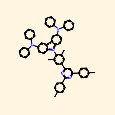 Cc1ccc(-c2cc(-c3cc(C)c(-n4c5ccc(N(c6ccccc6)c6ccccc6)cc5c5cc(N(c6ccccc6)c6ccccc6)ccc54)c(C)c3)nc(-c3ccc(C)cc3)n2)cc1